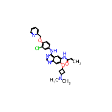 C=CC(=O)Nc1cc2c(Nc3ccc(OCc4ccccn4)c(Cl)c3)ncnc2cc1OC1CC(N(C)C)C1